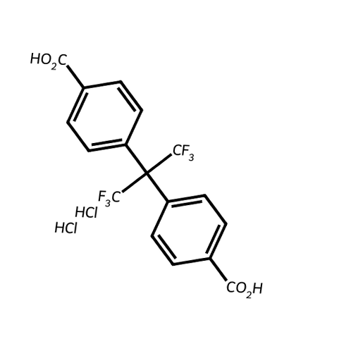 Cl.Cl.O=C(O)c1ccc(C(c2ccc(C(=O)O)cc2)(C(F)(F)F)C(F)(F)F)cc1